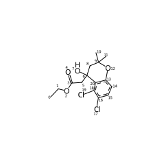 CCOC(=O)CC1(O)CC(C)(C)Oc2ccc(Cl)c(Cl)c21